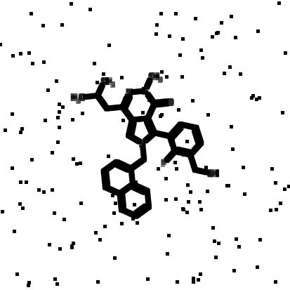 CC(C)Cc1nn(C)c(=O)c2c(-c3cccc(CO)c3F)n(Cc3cccc4ccccc34)cc12